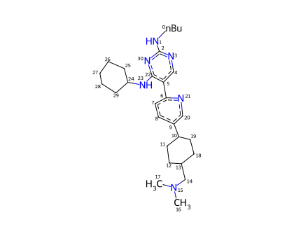 CCCCNc1ncc(-c2ccc(C3CCC(CN(C)C)CC3)cn2)c(NC2CCCCC2)n1